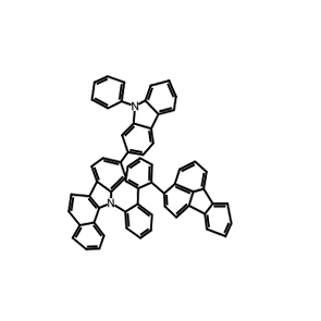 c1ccc(-n2c3ccccc3c3ccc(-c4ccc5c6ccc7ccccc7c6n(-c6ccccc6-c6ccccc6-c6ccc7c8c(cccc68)-c6ccccc6-7)c5c4)cc32)cc1